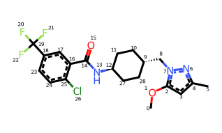 COc1cc(C)nn1C[C@H]1CC[C@H](NC(=O)c2cc(C(F)(F)F)ccc2Cl)CC1